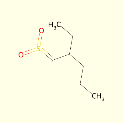 CCCC([C]=S(=O)=O)CC